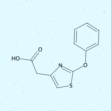 O=C(O)Cc1csc(Oc2ccccc2)n1